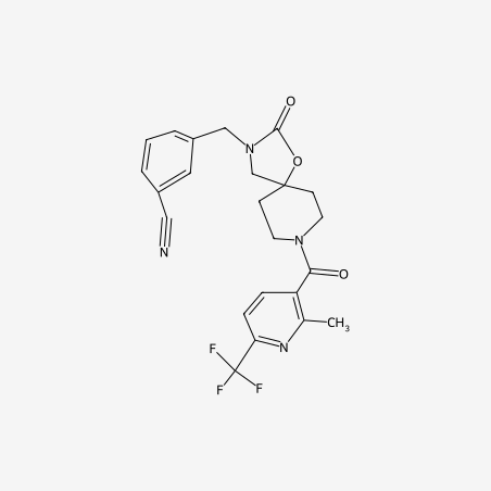 Cc1nc(C(F)(F)F)ccc1C(=O)N1CCC2(CC1)CN(Cc1cccc(C#N)c1)C(=O)O2